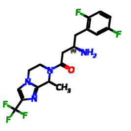 CC1c2nc(C(F)(F)F)cn2CCN1C(=O)C[C@H](N)Cc1cc(F)ccc1F